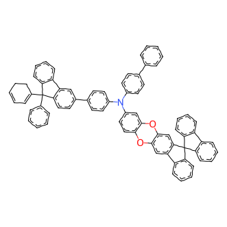 C1=CCCC(C2(c3ccccc3)c3ccccc3-c3cc(-c4ccc(N(c5ccc(-c6ccccc6)cc5)c5ccc6c(c5)Oc5cc7c(cc5O6)-c5ccccc5C75c6ccccc6-c6ccccc65)cc4)ccc32)=C1